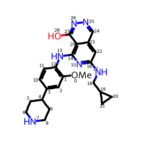 COc1cc(C2CCNCC2)ccc1Nc1nc(NCC2CC2)cc2cnnc(O)c12